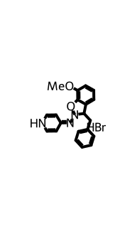 Br.COc1cccc2c1ON(N=c1cc[nH]cc1)C2Cc1ccccc1